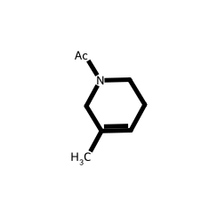 CC(=O)N1CCC=C(C)C1